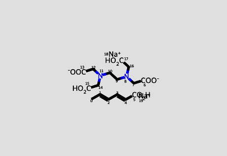 CC=CC=CC(=O)O.O=C([O-])CN(CCN(CC(=O)[O-])CC(=O)O)CC(=O)O.[Na+].[Na+]